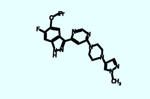 CC(C)Oc1cc2c(-c3cc(N4CCN(c5cnn(C)c5)CC4)ncn3)n[nH]c2cc1F